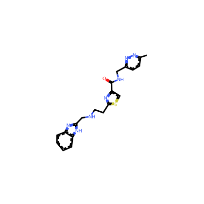 Cc1ccc(CNC(=O)c2csc(CCNCc3nc4ccccc4[nH]3)n2)nn1